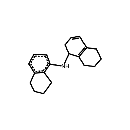 C1=CC2=C(CCCC2)C(Nc2cccc3c2CCCC3)C1